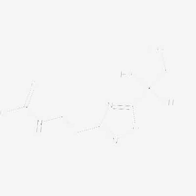 CC(C)(CO)c1nc(CCNC(=O)O)no1